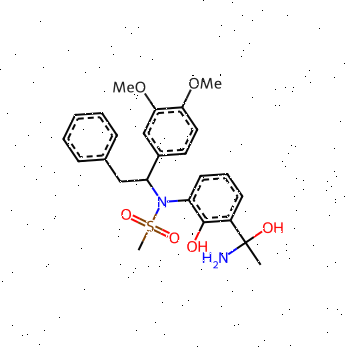 COc1ccc(C(Cc2ccccc2)N(c2cccc(C(C)(N)O)c2O)S(C)(=O)=O)cc1OC